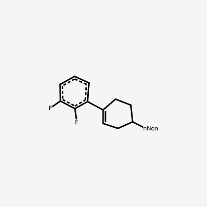 CCCCCCCCCC1CC=C(c2cccc(F)c2F)CC1